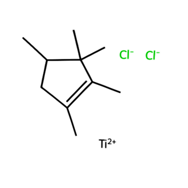 CC1=C(C)C(C)(C)C(C)C1.[Cl-].[Cl-].[Ti+2]